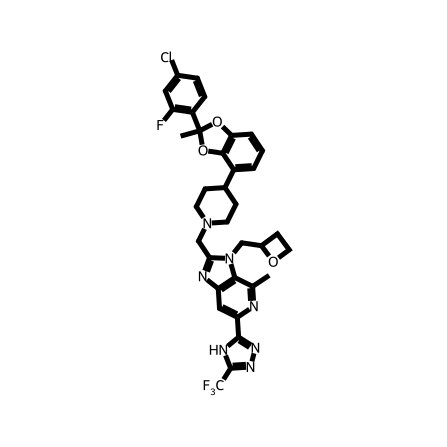 Cc1nc(-c2nnc(C(F)(F)F)[nH]2)cc2nc(CN3CCC(c4cccc5c4OC(C)(c4ccc(Cl)cc4F)O5)CC3)n(CC3CCO3)c12